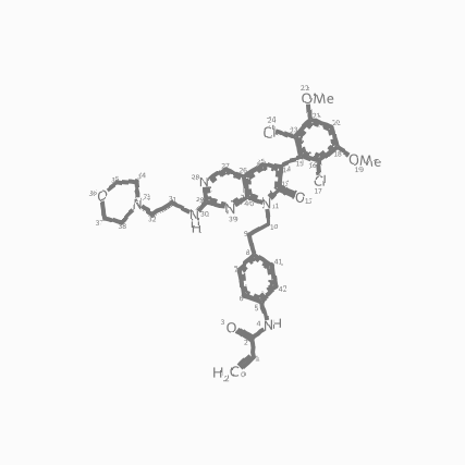 C=CC(=O)Nc1ccc(CCn2c(=O)c(-c3c(Cl)c(OC)cc(OC)c3Cl)cc3cnc(NCCN4CCOCC4)nc32)cc1